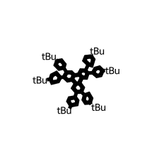 CC(C)(C)c1ccc(-c2cc3c4cc(-c5ccc(C(C)(C)C)cc5)c(-c5ccc(C(C)(C)C)cc5)cc4c4cc(-c5ccc(C(C)(C)C)cc5)c(-c5ccc(C(C)(C)C)cc5)cc4c3cc2-c2ccc(C(C)(C)C)cc2)cc1